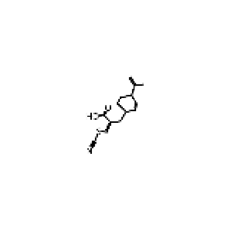 C=C(C)C1C=CC(C/C(=C/SC#N)C(=O)O)CC1